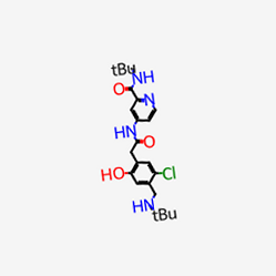 CC(C)(C)NCc1cc(O)c(CC(=O)Nc2ccnc(C(=O)NC(C)(C)C)c2)cc1Cl